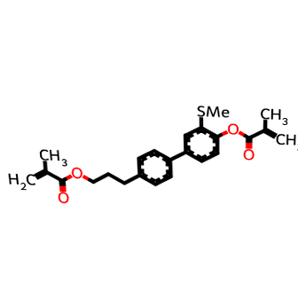 C=C(C)C(=O)OCCCc1ccc(-c2ccc(OC(=O)C(=C)C)c(SC)c2)cc1